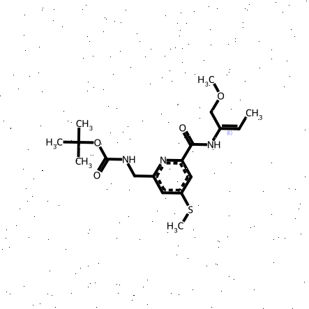 C/C=C(\COC)NC(=O)c1cc(SC)cc(CNC(=O)OC(C)(C)C)n1